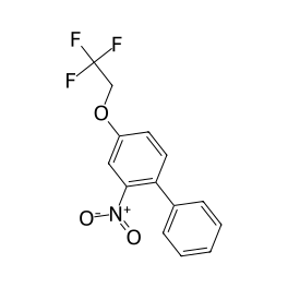 O=[N+]([O-])c1cc(OCC(F)(F)F)ccc1-c1ccccc1